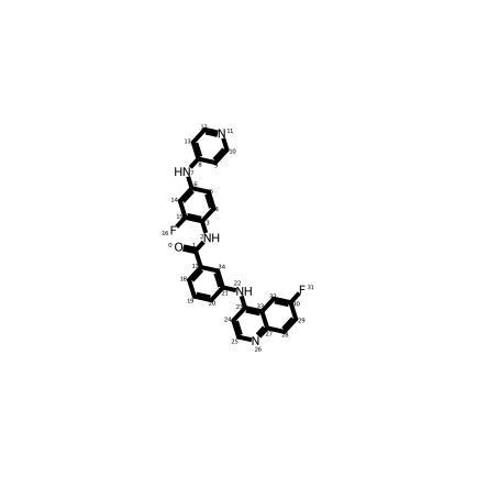 O=C(Nc1ccc(Nc2ccncc2)cc1F)c1cccc(Nc2ccnc3ccc(F)cc23)c1